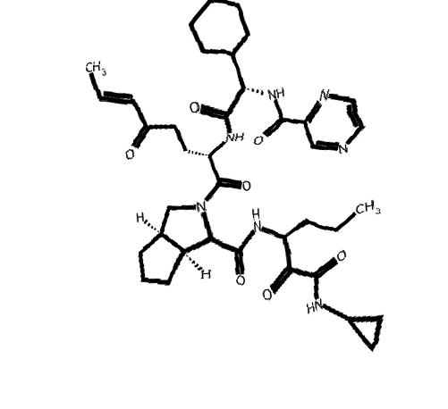 C/C=C/C(=O)CC[C@H](NC(=O)[C@@H](NC(=O)c1cnccn1)C1CCCCC1)C(=O)N1C[C@@H]2CCC[C@@H]2C1C(=O)N[C@@H](CCC)C(=O)C(=O)NC1CC1